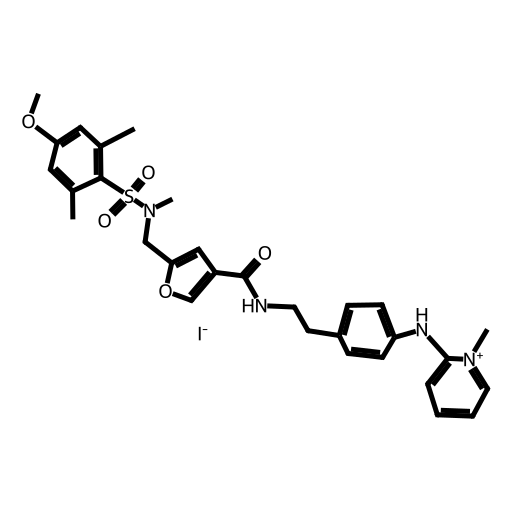 COc1cc(C)c(S(=O)(=O)N(C)Cc2cc(C(=O)NCCc3ccc(Nc4cccc[n+]4C)cc3)co2)c(C)c1.[I-]